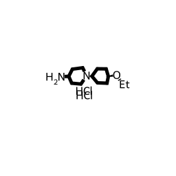 CCO[C@H]1CC[C@H](N2CCC(N)CC2)CC1.Cl.Cl